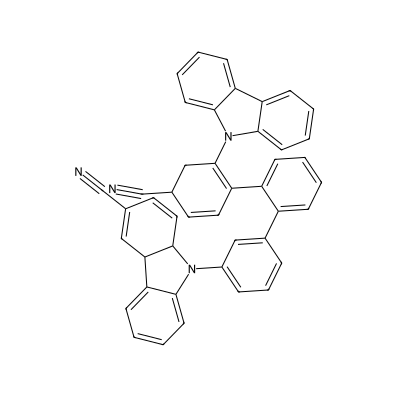 N#CC1=CC2c3ccccc3N(c3cccc(-c4ccccc4C4=C(n5c6ccccc6c6ccccc65)CC(C#N)C=C4)c3)C2C=C1